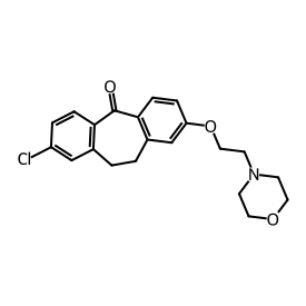 O=C1c2ccc(Cl)cc2CCc2cc(OCCN3CCOCC3)ccc21